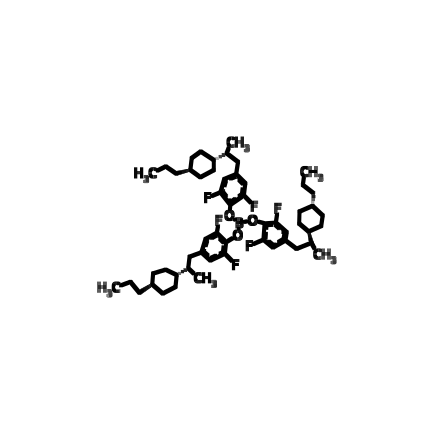 CCC[C@H]1CC[C@H](C(C)Cc2cc(F)c(OB(Oc3c(F)cc(CC(C)[C@H]4CC[C@H](CCC)CC4)cc3F)Oc3c(F)cc(CC(C)[C@H]4CC[C@H](CCC)CC4)cc3F)c(F)c2)CC1